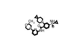 C[C@@H]1CN(c2cccc(NC(=O)c3ccc([S@](=N)(=O)C4CC4)cc3N3CCC4(CC3)CC4)n2)CCO1